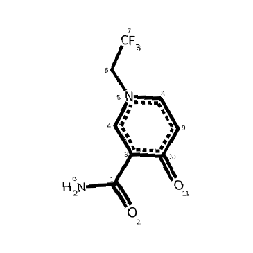 NC(=O)c1cn(CC(F)(F)F)ccc1=O